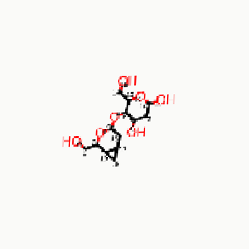 OCC1OC(OC2C(O)CC(O)OC2CO)CC2CC21